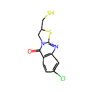 O=c1c2ccc(Cl)cc2nc2n1CC(CS)S2